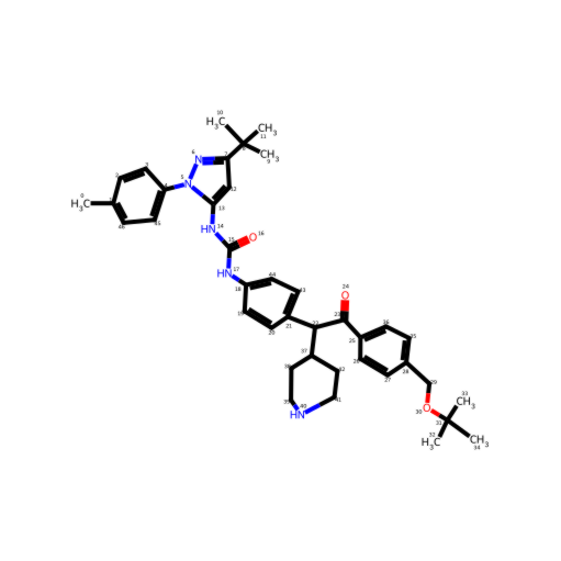 Cc1ccc(-n2nc(C(C)(C)C)cc2NC(=O)Nc2ccc(C(C(=O)c3ccc(COC(C)(C)C)cc3)C3CCNCC3)cc2)cc1